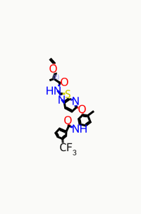 C=CO/C=C(\C)C(=O)Nc1nc2ccc(Oc3cc(NC(=O)c4cccc(C(F)(F)F)c4)ccc3C)nc2s1